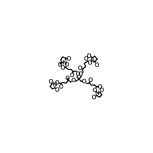 O=C(CCC(=O)ON1C(=O)CCC1=O)COCC(COCC(=O)CCC(=O)ON1C(=O)CCC1=O)(COCC(=O)CCC(=O)ON1C(=O)CCC1=O)COCC(=O)CCC(=O)ON1C(=O)CCC1=O